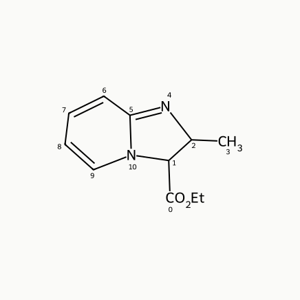 CCOC(=O)C1C(C)N=C2C=CC=CN21